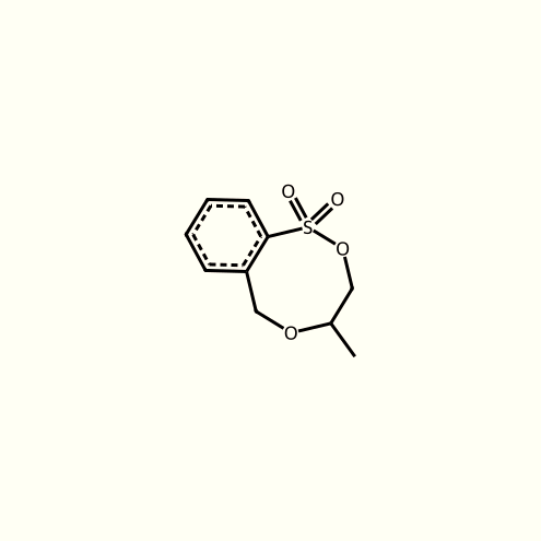 CC1COS(=O)(=O)c2ccccc2CO1